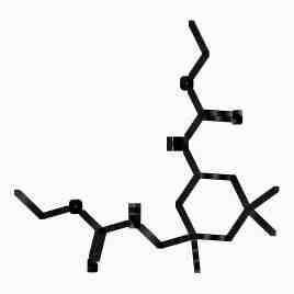 CCOC(=S)NCC1(C)CC(NC(=S)OCC)CC(C)(C)C1